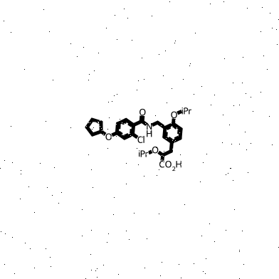 CC(C)Oc1ccc(CC(OC(C)C)C(=O)O)cc1CNC(=O)c1ccc(OC2CCCC2)cc1Cl